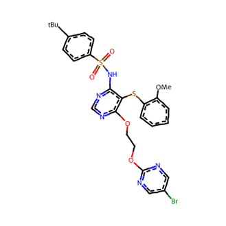 COc1ccccc1Sc1c(NS(=O)(=O)c2ccc(C(C)(C)C)cc2)ncnc1OCCOc1ncc(Br)cn1